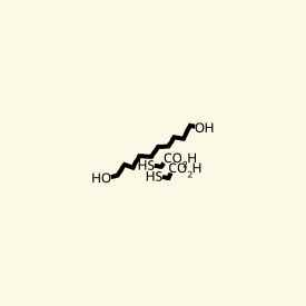 O=C(O)CS.O=C(O)CS.OCCCCCCCCCCO